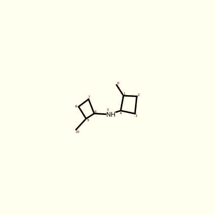 CC1CCC1NC1CCC1C